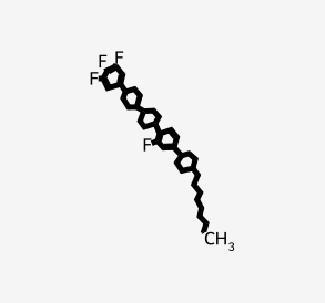 CCCCCCCCCC1CCC(c2ccc(C3CCC(C4CCC(c5cc(F)c(F)c(F)c5)CC4)CC3)c(F)c2)CC1